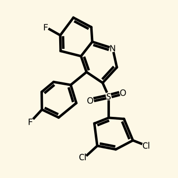 O=S(=O)(c1cc(Cl)cc(Cl)c1)c1cnc2ccc(F)cc2c1-c1ccc(F)cc1